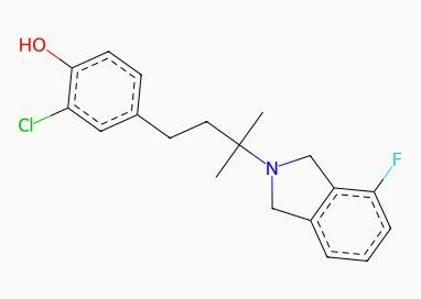 CC(C)(CCc1ccc(O)c(Cl)c1)N1Cc2cccc(F)c2C1